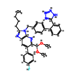 CCCCc1nc2cc(-c3ccc(F)cc3)c(C(OC)OC)nc2n1Cc1ccc(-c2ccccc2-c2nnn[nH]2)cc1